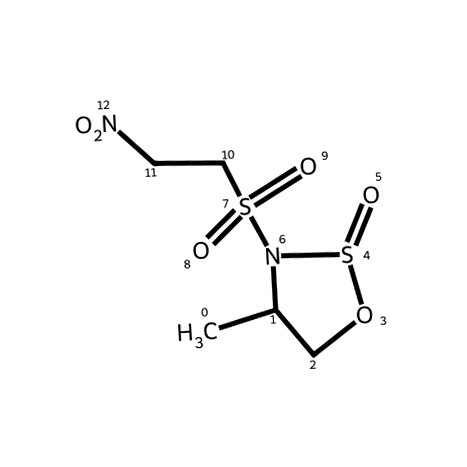 CC1COS(=O)N1S(=O)(=O)CC[N+](=O)[O-]